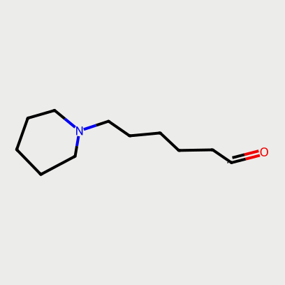 O=[C]CCCCCN1CCCCC1